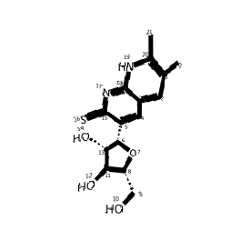 Cc1cc2cc([C@@H]3O[C@H](CO)C(O)[C@@H]3O)c(=S)nc-2[nH]c1C